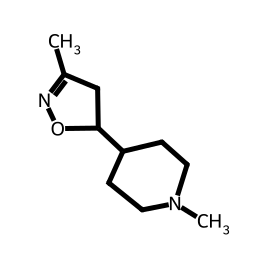 CC1=NOC(C2CCN(C)CC2)C1